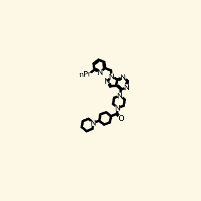 CCCc1cccc(Cn2ncc3c(N4CCN(C(=O)C5CCC(N6CCCCC6)CC5)CC4)ncnc32)n1